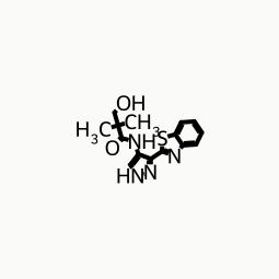 CC(C)(CO)C(=O)Nc1c[nH]nc1-c1nc2ccccc2s1